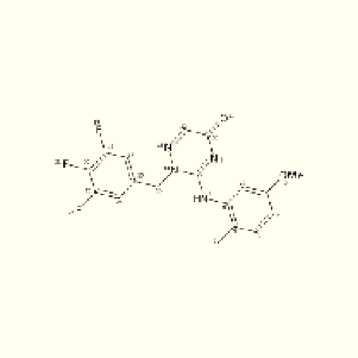 COc1ccc(C)c(Nc2nc(=O)cnn2Cc2cc(F)c(F)c(F)c2)c1